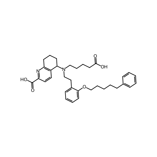 O=C(O)CCCCN(CCc1ccccc1OCCCCCc1ccccc1)C1CCCc2nc(C(=O)O)ccc21